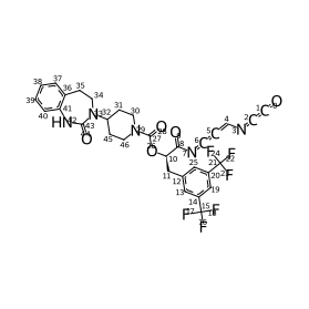 O=C=C=NC=C=C=NC(=O)[C@@H](Cc1cc(C(F)(F)F)cc(C(F)(F)F)c1)OC(=O)N1CCC(N2CCc3ccccc3NC2=O)CC1